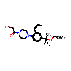 C/C=C\c1cc(C(OCOC)(C(F)(F)F)C(F)(F)F)ccc1N1CCN(C(=O)CBr)C[C@H]1C